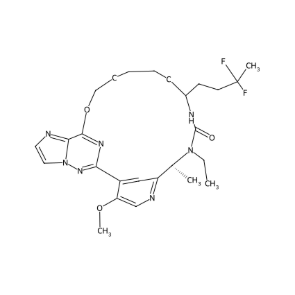 CCN1C(=O)NC(CCC(C)(F)F)CCCCCOc2nc(nn3ccnc23)-c2cc(ncc2OC)[C@H]1C